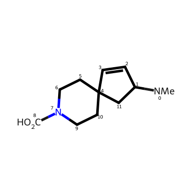 CNC1C=CC2(CCN(C(=O)O)CC2)C1